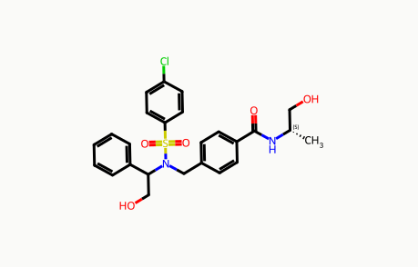 C[C@@H](CO)NC(=O)c1ccc(CN(C(CO)c2ccccc2)S(=O)(=O)c2ccc(Cl)cc2)cc1